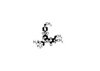 CCc1c2nc(-c3cc(S(=O)(=O)N4CCN(CC)CC4)cnc3OC(CC)COC)[nH]c(=O)c2nn1C